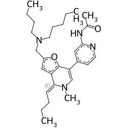 CCC/C=C1/c2cc(CN(CCCC)CCCCC)oc2C(c2ccnc(NC(C)=O)c2)=CN1C